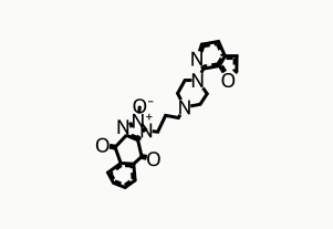 O=C1c2ccccc2C(=O)c2c1n[n+]([O-])n2CCCN1CCN(c2nccc3ccoc23)CC1